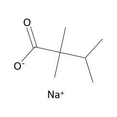 CC(C)C(C)(C)C(=O)[O-].[Na+]